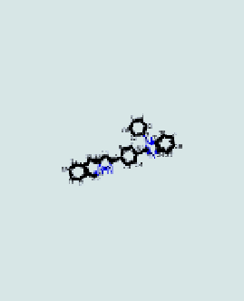 c1ccc(-n2c(-c3ccc(-c4cc5cc6ccccc6cn5n4)cc3)nc3ccccc32)cc1